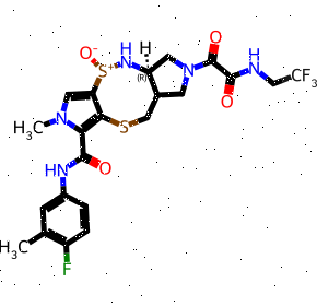 Cc1cc(NC(=O)c2c3c(cn2C)[S+]([O-])N[C@H]2CN(C(=O)C(=O)NCC(F)(F)F)CC2CS3)ccc1F